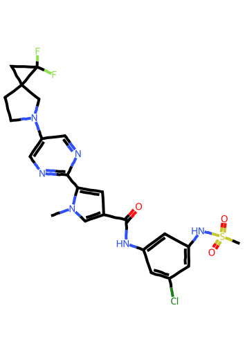 Cn1cc(C(=O)Nc2cc(Cl)cc(NS(C)(=O)=O)c2)cc1-c1ncc(N2CCC3(C2)CC3(F)F)cn1